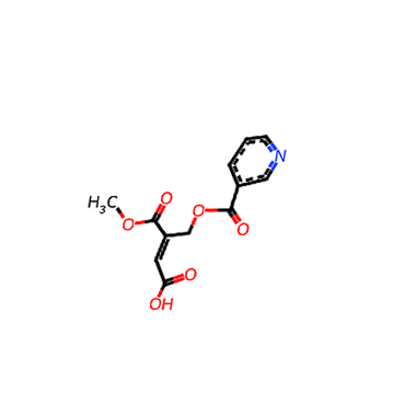 COC(=O)/C(=C/C(=O)O)COC(=O)c1cccnc1